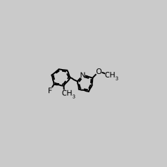 COc1cccc(-c2cccc(F)c2C)n1